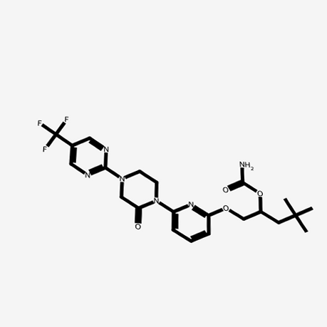 CC(C)(C)CC(COc1cccc(N2CCN(c3ncc(C(F)(F)F)cn3)CC2=O)n1)OC(N)=O